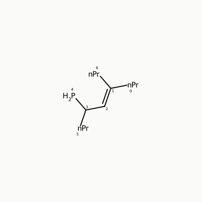 CCCC(=CC(P)CCC)CCC